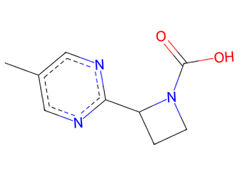 Cc1cnc(C2CCN2C(=O)O)nc1